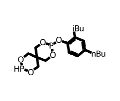 CCCCc1ccc(OP2OCC3(COPOC3)CO2)c(C(C)CC)c1